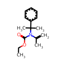 C=C(C)N(C(=O)OCC)C(C)(C)c1ccccc1